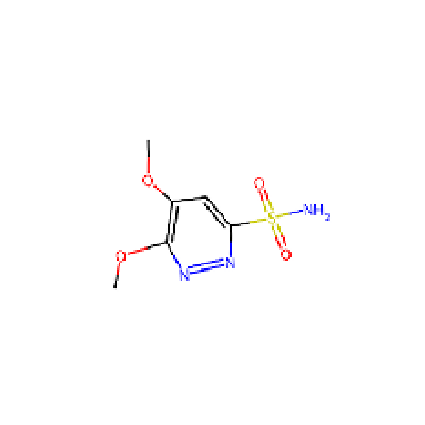 COc1cc(S(N)(=O)=O)nnc1OC